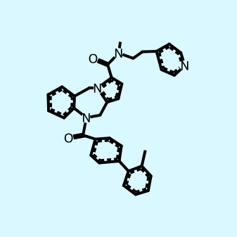 Cc1ccccc1-c1ccc(C(=O)N2Cc3ccc(C(=O)N(C)CCc4ccncc4)n3Cc3ccccc32)cc1